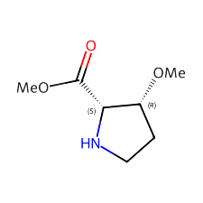 COC(=O)[C@H]1NCC[C@H]1OC